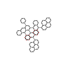 c1ccc(-c2cc(-c3c4ccccc4c(-c4ccc5ccc6cccc7ccc4c5c67)c4ccccc34)c(-c3c4ccccc4c(-c4ccc5ccc6cccc7ccc4c5c67)c4ccccc34)c3c(-c4ccccc4)c4ccccc4cc23)cc1